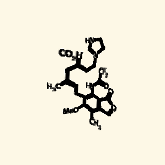 COc1c(C)c2c(c(NC(=O)C(F)(F)F)c1C/C=C(\C)CC(CCN1CCNC1)C(=O)O)C(=O)OC2